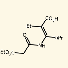 CCCC(NC(=O)CC(=O)OCC)=C(CC)C(=O)O